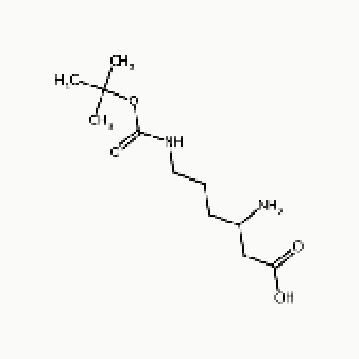 CC(C)(C)OC(=O)NCCCC(N)CC(=O)O